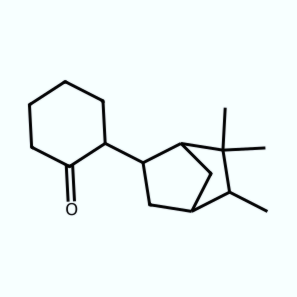 CC1C2CC(C3CCCCC3=O)C(C2)C1(C)C